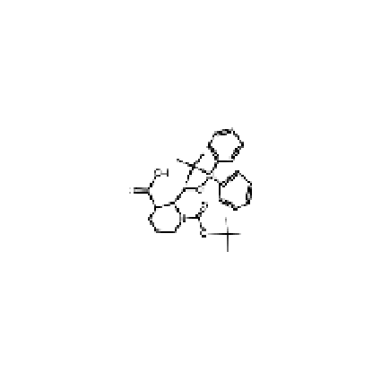 CC(C)(C)OC(=O)N1CCCC(C(=O)O)C1CO[Si](c1ccccc1)(c1ccccc1)C(C)(C)C